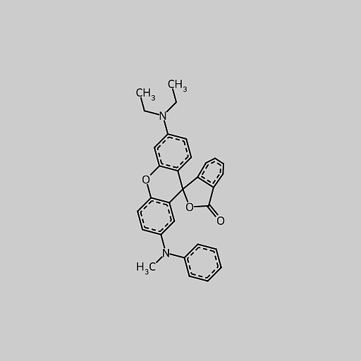 CCN(CC)c1ccc2c(c1)Oc1ccc(N(C)c3ccccc3)cc1C21OC(=O)c2ccccc21